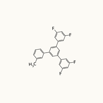 Cc1cccc(-c2cc(-c3cc(F)cc(F)c3)cc(-c3cc(F)cc(F)c3)c2)c1